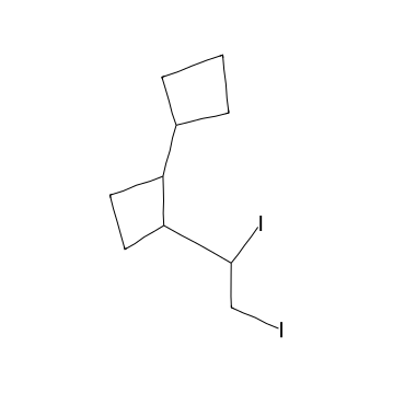 ICC(I)C1CCC1C1CCC1